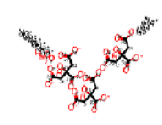 O.O.O=C([O-])CC(O)(CC(=O)[O-])C(=O)[O-].O=C([O-])CC(O)(CC(=O)[O-])C(=O)[O-].O=C([O-])CC(O)(CC(=O)[O-])C(=O)[O-].[Na+].[Na+].[Na+].[Na+].[Na+].[Na+].[Na+].[Na+].[Na+]